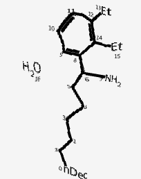 CCCCCCCCCCCCCCCC(N)c1cccc(CC)c1CC.O